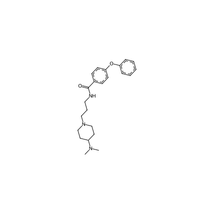 CN(C)C1CCN(CCCNC(=O)c2ccc(Oc3ccccc3)cc2)CC1